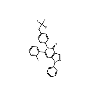 O=c1c2cnn(-c3ccccc3)c2nc(-c2ccccc2F)n1-c1ccc(OC(F)(F)F)cc1